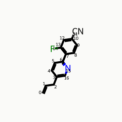 C=CCc1ccc(-c2ccc(C#N)cc2F)nc1